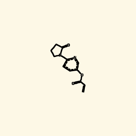 C=CC(=O)Oc1ccc(N2CCCC2=O)nc1